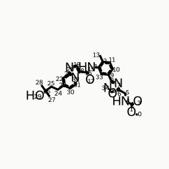 COC(=O)NCc1nc(-c2ccc(C)c(NC(=O)c3cnc4cc(CCC(C)(C)O)ccn34)c2)no1